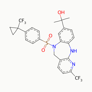 CC(C)(O)c1ccc2c(c1)N(S(=O)(=O)c1ccc(C3(C(F)(F)F)CC3)cc1)Cc1ccc(C(F)(F)F)nc1N2